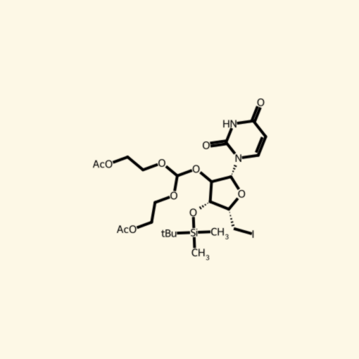 CC(=O)OCCOC(OCCOC(C)=O)OC1[C@@H](O[Si](C)(C)C(C)(C)C)[C@@H](CI)O[C@H]1n1ccc(=O)[nH]c1=O